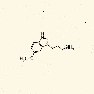 COc1ccc2[nH]cc(CC[CH]N)c2c1